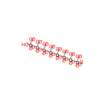 COC(=O)CCc1cc(OCc2cc(OC)c(OCc3cc(OC)c(OCc4cc(OC)c(OCc5cc(OC)c(OCc6cc(OC)c(OCc7cc(OC)c(OCc8cc(OC)c(OC(C)=O)cc8CCC(=O)OC)cc7CCC(=O)OC)cc6CCC(=O)OC)cc5CCC(=O)OC)cc4CCC(=O)OC)cc3CCC(=O)OC)cc2CCC(=O)OC)c(OC)cc1CO